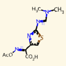 CC(=O)O/N=C(\C(=O)O)c1csc(/N=C/N(C)C)n1